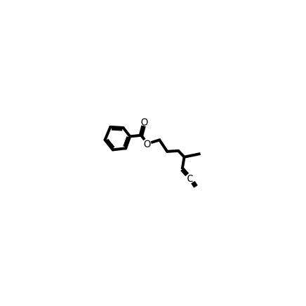 C=C=CC(C)CCCOC(=O)c1ccccc1